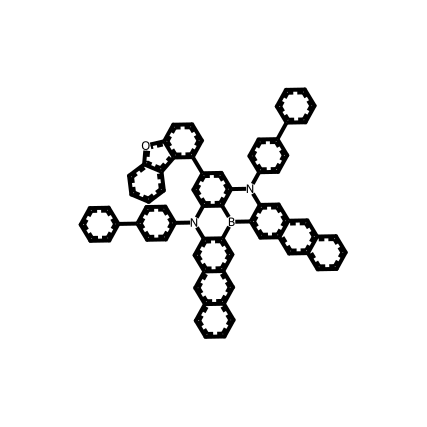 c1ccc(-c2ccc(N3c4cc5cc6ccccc6cc5cc4B4c5cc6cc7ccccc7cc6cc5N(c5ccc(-c6ccccc6)cc5)c5cc(-c6cccc7oc8ccccc8c67)cc3c54)cc2)cc1